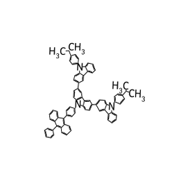 CC(C)c1ccc(-n2c3ccccc3c3cc(-c4ccc5c(c4)c4cc(-c6ccc7c(c6)c6ccccc6n7-c6ccc(C(C)C)cc6)ccc4n5-c4ccc(-c5c6ccccc6c(-c6ccccc6)c6ccccc56)cc4)ccc32)cc1